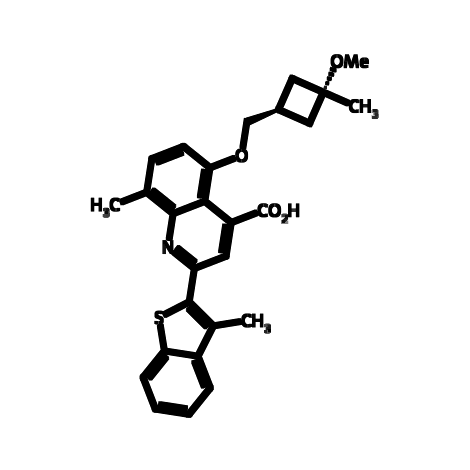 CO[C@]1(C)C[C@@H](COc2ccc(C)c3nc(-c4sc5ccccc5c4C)cc(C(=O)O)c23)C1